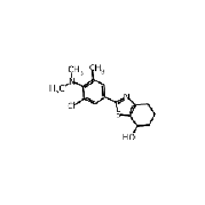 Cc1cc(-c2nc3c(s2)C(O)CCC3)cc(Cl)c1N(C)C